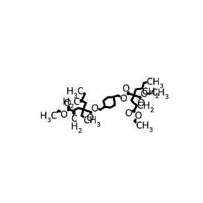 C=C(CC)CC(CC)(CC(=C)C(=O)OCC)C(=O)OCC1CCC(COC(=O)C(CC(=C)CC)(CC(=C)C(=O)OCC)C(=O)OCC)CC1